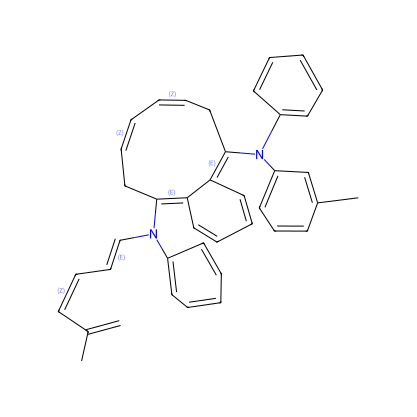 C=C(C)/C=C\C=C\N(/C1=c2\cccc\c2=C(/N(c2ccccc2)c2cccc(C)c2)C/C=C\C=C/C1)c1ccccc1